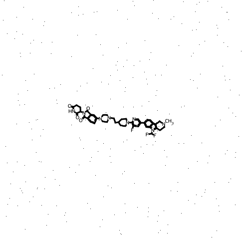 CN1CCc2c(c3ccc(-c4cnc(N5CCC(CCN6CCN(c7ccc8c(c7)C(=O)N(C7CCC(=O)NC7=O)C8=O)CC6)CC5)c(F)c4)cc3n2C(F)F)C1